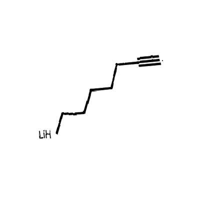 [C]#CCCCCCC.[LiH]